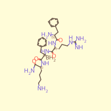 B[C@@](Cc1ccccc1)(NC(=O)[C@@H](CCCNC(=N)N)NC(=O)[C@@H](N)Cc1ccccc1)C(=O)N[C@@H](CCCCN)C(N)=O